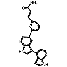 NC(=O)C=Cc1cccc(-c2cnc3[nH]cc(-c4ccnc5[nH]ccc45)c3c2)n1